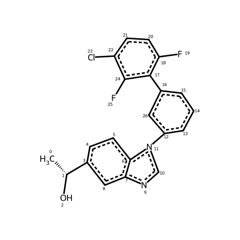 C[C@@H](O)c1ccc2c(c1)ncn2-c1cccc(-c2c(F)ccc(Cl)c2F)c1